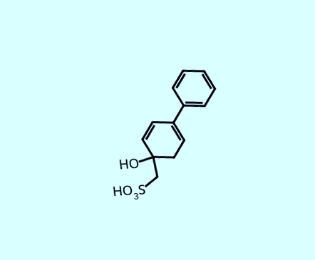 O=S(=O)(O)CC1(O)C=CC(c2ccccc2)=CC1